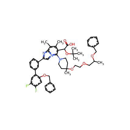 Cc1c(C(OC(C)(C)C)C(=O)O)c(N2CCC(C)(OCCOCC(C)OCc3ccccc3)CC2)n2cc(-c3cccc(-c4cc(F)c(F)cc4OCc4ccccc4)c3)nc2c1C